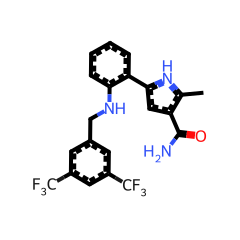 Cc1[nH]c(-c2ccccc2NCc2cc(C(F)(F)F)cc(C(F)(F)F)c2)cc1C(N)=O